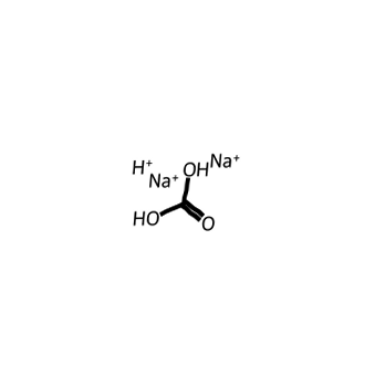 O=C(O)O.[H+].[Na+].[Na+]